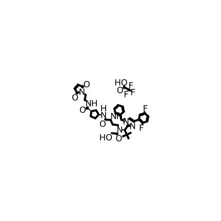 CC(C)(C)[C@H](c1nc(-c2cc(F)ccc2F)cn1Cc1ccccc1)N(CC[C@H](N)C(=O)N[C@H]1CC[C@@H](C(=O)NCCN2C(=O)C=CC2=O)C1)C(=O)CO.O=C(O)C(F)(F)F